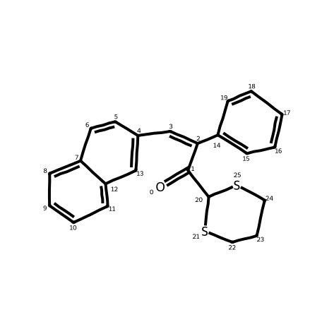 O=C(C(=Cc1ccc2ccccc2c1)c1ccccc1)C1SCCCS1